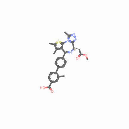 COC(=O)C[C@@H]1N=C(c2ccc(-c3ccc(C(=O)O)cc3C)cc2)c2c(sc(C)c2C)-n2c(C)nnc21